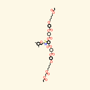 C=CC(=O)OCCCCCCOc1ccc(C(=O)O[C@H]2CC[C@H](C(=O)Oc3ccc(C(=O)O[C@H]4CC[C@H](C(=O)Oc5ccc(OCCCCCCOC(=O)CCOC(=O)C=C)cc5)CC4)c4nc(-c5cc6c(C)cc(C)cc6o5)sc34)CC2)cc1